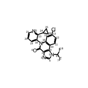 O=c1c2ncn(C(F)F)c2c2ccc(Cl)cc2n1-c1cccnc1C1CC1